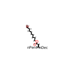 CCCCCCCCCC/C(=C/C(=O)OCCCCCCCCCBr)CCCCC